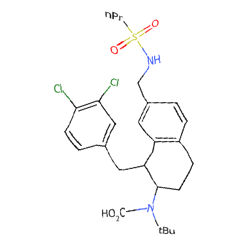 CCCS(=O)(=O)NCc1ccc2c(c1)C(Cc1ccc(Cl)c(Cl)c1)C(N(C(=O)O)C(C)(C)C)CC2